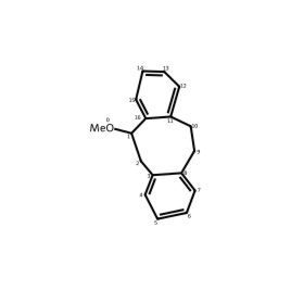 COC1Cc2ccccc2CCc2ccccc21